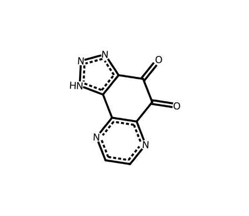 O=C1C(=O)c2nn[nH]c2-c2nccnc21